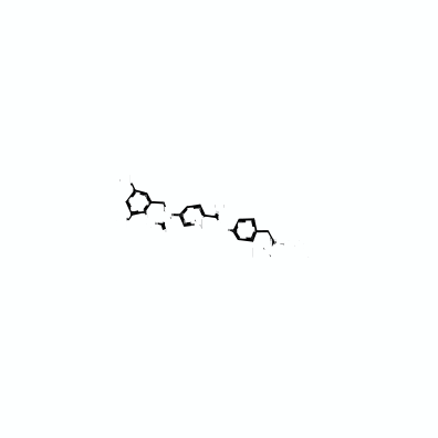 N[C@@H](Cc1ccc(OC(=O)c2ccc(N3Cc4cc(Cl)cc(Cl)c4OC3=S)cn2)cc1)C(=O)O